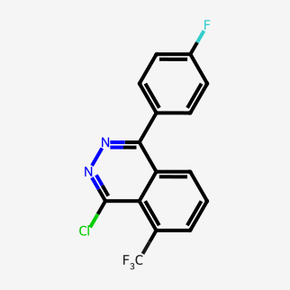 Fc1ccc(-c2nnc(Cl)c3c(C(F)(F)F)cccc23)cc1